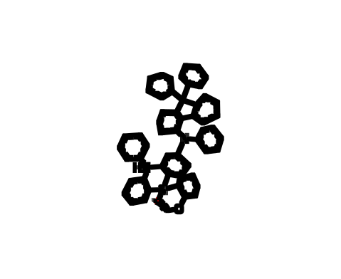 c1ccc(N(c2ccc3c(c2)[SiH](c2ccccc2)c2ccccc2[Si]32c3ccccc3Oc3ccccc32)c2cccc3c2-c2ccccc2C3(c2ccccc2)c2ccccc2)cc1